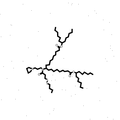 CCCCCCC(CCCCCC)OC(=O)CCCCCCCCC(CCCCCCCCC(=O)OC(CCCCCC)CCCCCC)N(CCCN1CCCC1)C(=O)CCSSCCCC